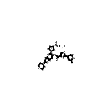 Cc1cc(-c2nc(C(=O)Nc3cc4sc(N5CCOCC5)nc4nc3N3CC[C@H](NC(=O)O)C3)co2)ccn1